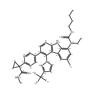 CCCCOC(=O)N(CC)c1cc(F)cc2c1[nH]c1ncc(-c3cnc(C4(C(=O)NC)CC4)nc3)c(-n3ccc(C(F)(F)F)n3)c12